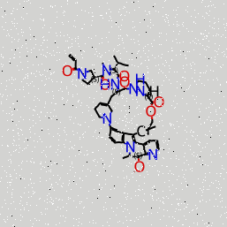 C=CC(=O)N1CC[C@H](C(=O)N(C)[C@H](C(=O)N[C@H]2CC3=CCCN(C3)c3ccc4c(c3)c(c(-c3cccnc3[C@H](C)OC)n4CC)CC(C)(C)COC(=O)[C@@H]3CCCN(N3)C2=O)C(C)C)C1